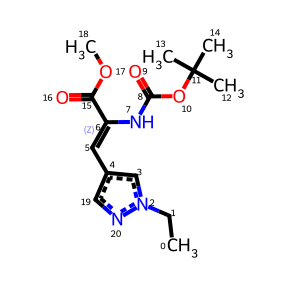 CCn1cc(/C=C(\NC(=O)OC(C)(C)C)C(=O)OC)cn1